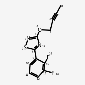 CC#CCOc1nsc(-c2cccc(F)c2F)n1